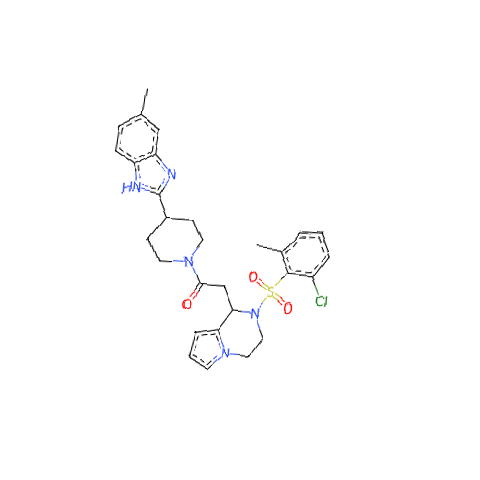 Cc1ccc2[nH]c(C3CCN(C(=O)CC4c5cccn5CCN4S(=O)(=O)c4c(C)cccc4Cl)CC3)nc2c1